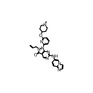 C=CCn1c(=O)c2cnc(Nc3ccc4nccn4c3)nc2n1-c1cccc(OC2CCN(C)CC2)n1